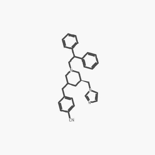 N#Cc1ccc(CC2C[C@H](Cn3ccnc3)CN(CC(c3ccccc3)c3ccccc3)C2)cc1